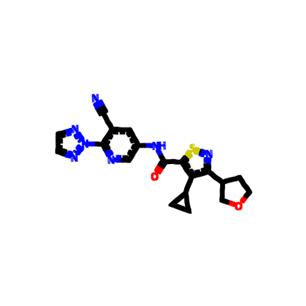 N#Cc1cc(NC(=O)c2snc(C3CCOC3)c2C2CC2)cnc1-n1nccn1